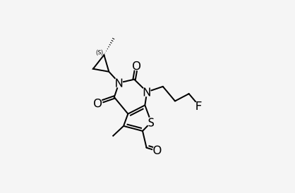 Cc1c(C=O)sc2c1c(=O)n(C1C[C@@H]1C)c(=O)n2CCCF